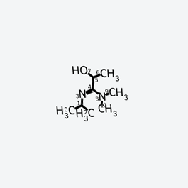 CC(C)N=C(C(C)O)N(C)C